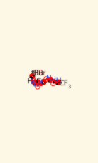 Br.Cn1c(C(=O)N2CCN(Cc3ccc(C(C)(C)C)cc3)CC2)cc2ccc(Oc3ccc(NC(=O)c4ccc(C(F)(F)F)cc4)cn3)cc21